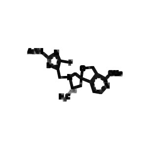 COc1nccc2c1COC21C[C@H](C)N(Cc2sc(NC(C)=O)nc2F)C1